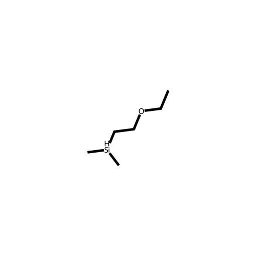 CCOCC[SiH](C)C